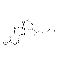 CCOc1nc2cc(C(F)(F)F)ccc2c(C)c1C(=O)NCCCC(C)C